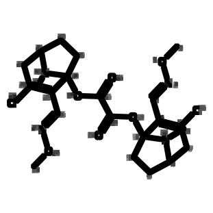 CON=CC1=C(Cl)CC2CCC1(OC(=O)C(=O)OC13CCC(CC(Cl)=C1C=NOC)N3C)N2C